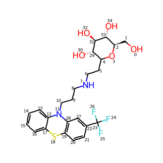 OC[C@H]1OC(CCNCCCN2c3ccccc3Sc3ccc(C(F)(F)F)cc32)[C@H](O)[C@@H](O)[C@@H]1O